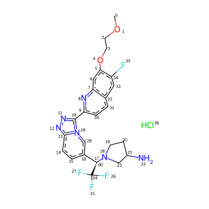 COCCOc1cc2nc(-c3nnc4ccc([C@@H](N5CCC(N)C5)C(F)(F)F)cn34)ccc2cc1F.Cl